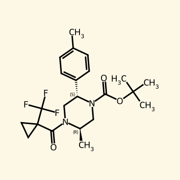 Cc1ccc([C@H]2CN(C(=O)C3(C(F)(F)F)CC3)[C@H](C)CN2C(=O)OC(C)(C)C)cc1